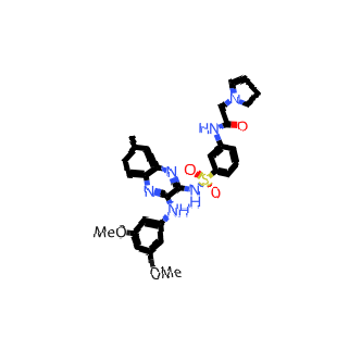 COc1cc(Nc2nc3c(nc2NS(=O)(=O)c2cccc(NC(=O)CN4CCCC4)c2)=CC(C)CC=3)cc(OC)c1